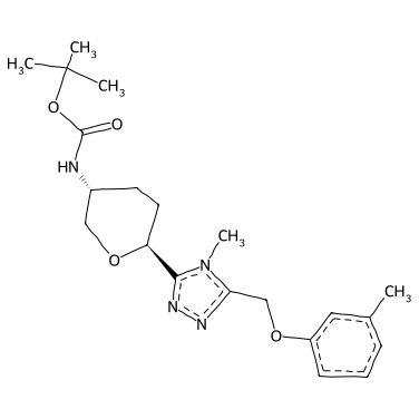 Cc1cccc(OCc2nnc([C@@H]3CC[C@@H](NC(=O)OC(C)(C)C)CO3)n2C)c1